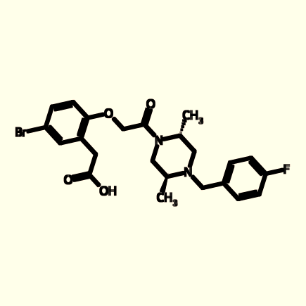 C[C@@H]1CN(Cc2ccc(F)cc2)[C@@H](C)CN1C(=O)COc1ccc(Br)cc1CC(=O)O